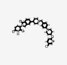 O=C1CCC(N2Cc3cc(C4CCN(Cc5ccc(N6CCC(Oc7ccc(Cl)cn7)CC6)cc5)CC4)ccc3C2=O)C(=O)N1